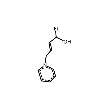 CCC(O)C=CC[n+]1ccccc1